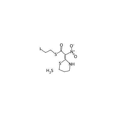 O=C(SCCI)/C(=C1/NCCCS1)[N+](=O)[O-].S